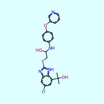 CC(C)(O)c1cc(Cl)cc2nc(SCC(O)Nc3ccc(Oc4cccnc4)cc3)[nH]c12